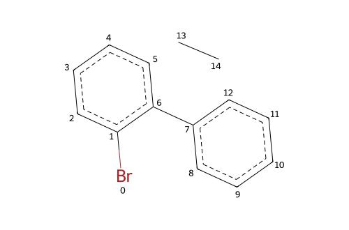 Brc1ccccc1-c1ccccc1.CC